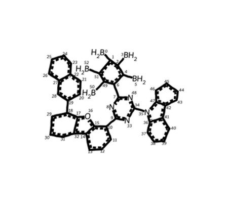 Bc1c(B)c(B)c(-c2nc(-c3cccc4c3oc3c(-c5ccc6ccccc6c5)cccc34)nc(-n3c4ccccc4c4ccccc43)n2)c(B)c1B